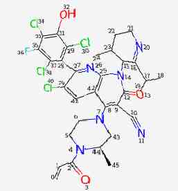 C=CC(=O)N1CCN(c2c(C#N)c(=O)n(C3C(C(C)C)=NCCC3C)c3nc(-c4c(Cl)c(O)c(Cl)c(F)c4Cl)c(Cl)cc23)C[C@H]1C